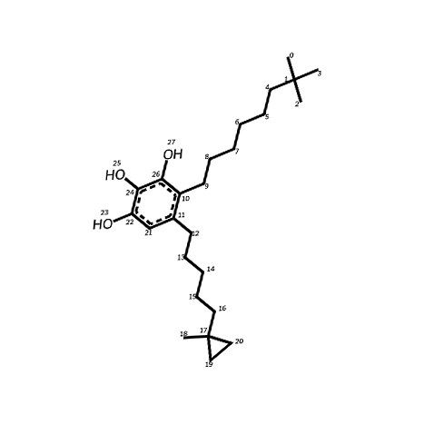 CC(C)(C)CCCCCCc1c(CCCCCC2(C)CC2)cc(O)c(O)c1O